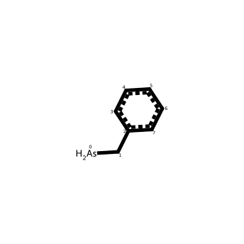 [AsH2]Cc1ccccc1